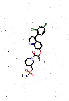 CC(Oc1ccc2c(-c3ccc(F)cc3Cl)ccnc2c1)C(=O)N1CCCC(CS(N)(=O)=O)C1